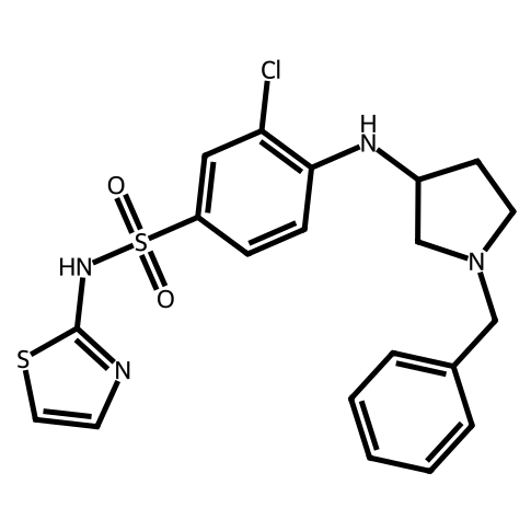 O=S(=O)(Nc1nccs1)c1ccc(NC2CCN(Cc3ccccc3)C2)c(Cl)c1